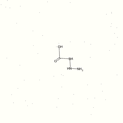 NNBC(=O)O